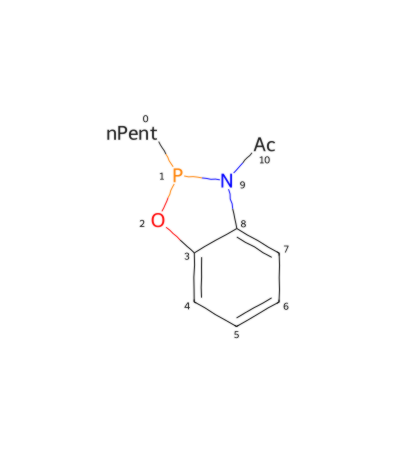 CCCCCP1Oc2ccccc2N1C(C)=O